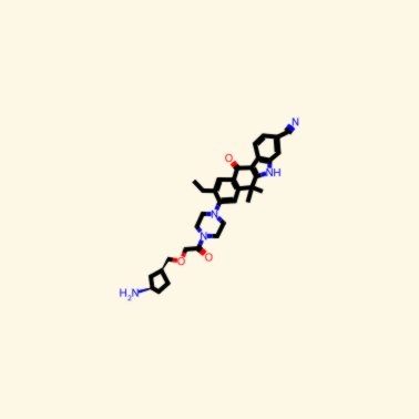 CCc1cc2c(cc1N1CCN(C(=O)COC[C@H]3CC[C@@H](N)C3)CC1)C(C)(C)c1[nH]c3cc(C#N)ccc3c1C2=O